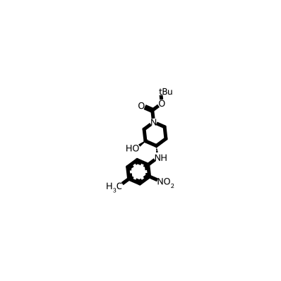 Cc1ccc(N[C@H]2CCN(C(=O)OC(C)(C)C)C[C@@H]2O)c([N+](=O)[O-])c1